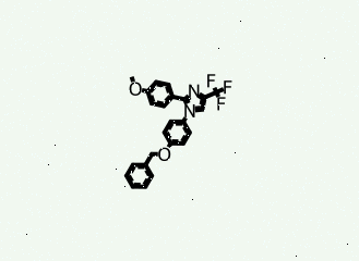 COc1ccc(-c2nc(C(F)(F)F)cn2-c2ccc(OCc3ccccc3)cc2)cc1